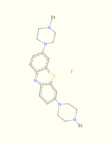 CCN1CCN(c2ccc3nc4ccc(N5CCN(CC)CC5)cc4[s+]c3c2)CC1.[I-]